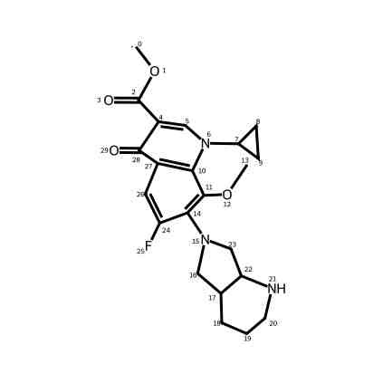 [CH2]OC(=O)c1cn(C2CC2)c2c(OC)c(N3CC4CCCNC4C3)c(F)cc2c1=O